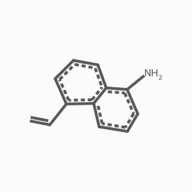 C=Cc1cccc2c(N)cccc12